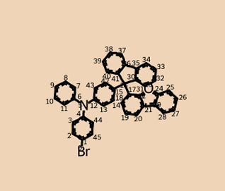 Brc1ccc(N(c2ccccc2)c2ccc(C3(c4cccc5c4oc4ccccc45)c4ccccc4-c4ccccc43)cc2)cc1